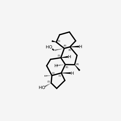 C[C@@H]1C[C@H]2CCC[C@H](C)[C@]2(CO)[C@H]2CC[C@]3(C)[C@@H](O)CC[C@H]3[C@H]12